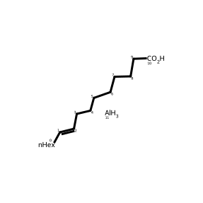 CCCCCCC=CCCCCCCCC(=O)O.[AlH3]